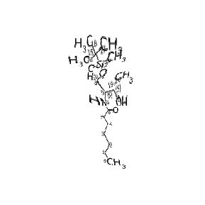 CCCCCCC(=O)N[C@@H](CO[Si](C)(C)C(C)(C)C)[C@H](C)O